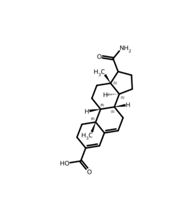 C[C@]12CCC(C(=O)O)=CC1=CC[C@@H]1[C@H]2CC[C@]2(C)C(C(N)=O)CC[C@@H]12